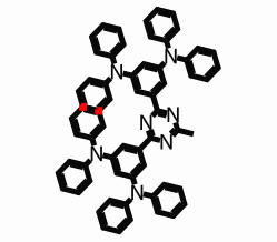 Cc1nc(-c2cc(N(c3ccccc3)c3ccccc3)cc(N(c3ccccc3)c3ccccc3)c2)nc(-c2cc(N(c3ccccc3)c3ccccc3)cc(N(c3ccccc3)c3ccccc3)c2)n1